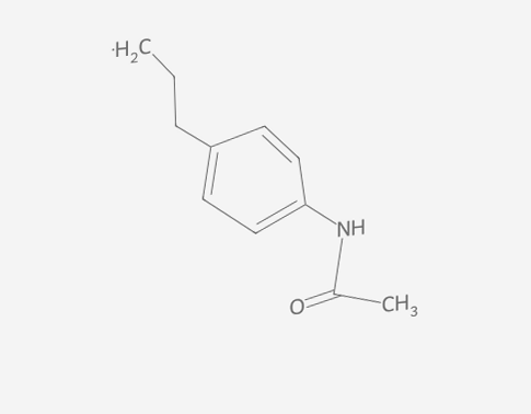 [CH2]CCc1ccc(NC(C)=O)cc1